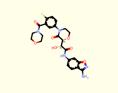 Nc1noc2cc(NC(=O)[C@H](O)[C@H]3OCCN(c4ccc(F)c(C(=O)N5CCOCC5)c4)C3=O)ccc12